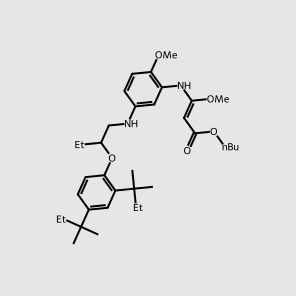 CCCCOC(=O)C=C(Nc1cc(NCC(CC)Oc2ccc(C(C)(C)CC)cc2C(C)(C)CC)ccc1OC)OC